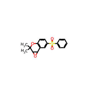 CC1(C)Oc2ccc(S(=O)(=O)c3ccccc3)cc2C2OC21